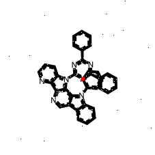 c1ccc(-c2nc(-c3ccccc3)nc(-n3c4cccnc4c4ncc5c6ccccc6n(-c6ccccc6)c5c43)n2)cc1